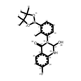 Cc1c(B2OC(C)(C)C(C)(C)O2)cccc1N1C(=O)c2ccc(F)cc2NC1O